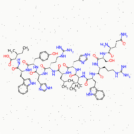 CC[C@H](C)[C@H](NC(=O)[C@H](Cc1c[nH]c2ccccc12)NC(=O)[C@H](Cc1ccc(O)cc1)NC(=O)[C@H](Cc1c[nH]cn1)NC(=O)[C@H](CCCNC(=N)N)NC(=O)[C@H](CC(C)C)NC(=O)[C@H](Cc1c[nH]cn1)NC(=O)[C@@H](NC(=O)[C@H](Cc1c[nH]c2ccccc12)NC(=O)[C@H](CCCNC(=N)N)NC(=O)[C@H](CO)NC(=O)[C@@H](N)CCC(N)=O)[C@@H](C)CC)C(=O)O